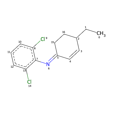 CCC1C=CC(=Nc2c(Cl)cccc2Cl)CC1